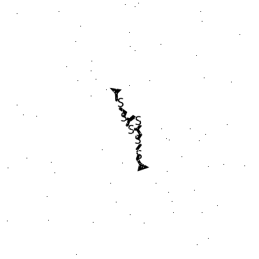 C1=C(SCCSCC2CC2)CSC(CSCCSCC2CC2)CS1